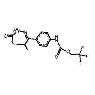 CC1CC(=O)NN=C1c1ccc(NC(=O)OCC(F)(F)F)cc1